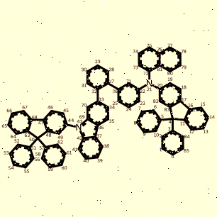 c1ccc(C2(c3ccccc3)c3ccccc3-c3ccc(N(c4cccc(-c5ccccc5-c5ccc6c7ccccc7n(-c7ccc8c(c7)C(c7ccccc7)(c7ccccc7)c7ccccc7-8)c6c5)c4)c4cccc5ccccc45)cc32)cc1